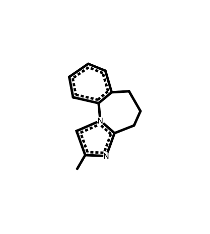 Cc1cn2c(n1)CCCc1ccccc1-2